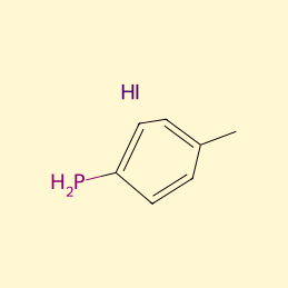 Cc1ccc(P)cc1.I